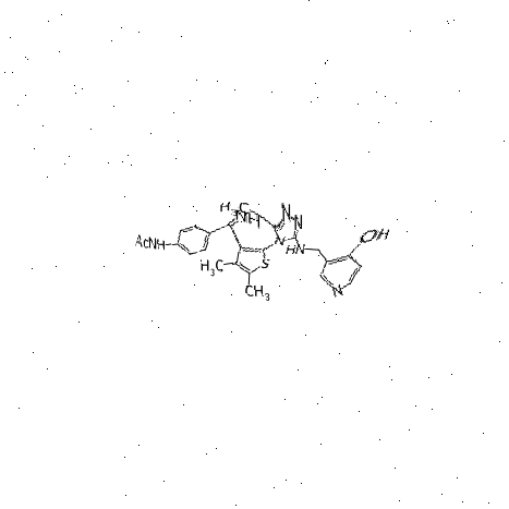 CC(=O)Nc1ccc(C(=N)c2c(-n3c(C)nnc3NCc3cnccc3O)sc(C)c2C)cc1